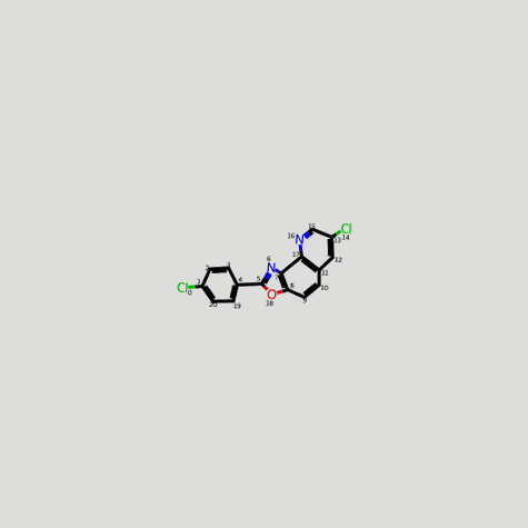 Clc1ccc(-c2nc3c(ccc4cc(Cl)cnc43)o2)cc1